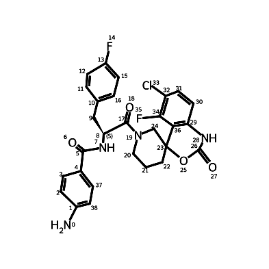 Nc1ccc(C(=O)N[C@@H](Cc2ccc(F)cc2)C(=O)N2CCCC3(C2)OC(=O)Nc2ccc(Cl)c(F)c23)cc1